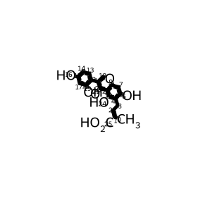 C/C(=C\Cc1c(O)cc2occ(-c3ccc(O)cc3O)c(=O)c2c1O)C(=O)O